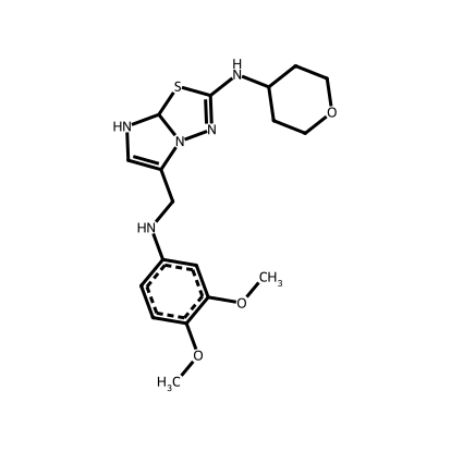 COc1ccc(NCC2=CNC3SC(NC4CCOCC4)=NN23)cc1OC